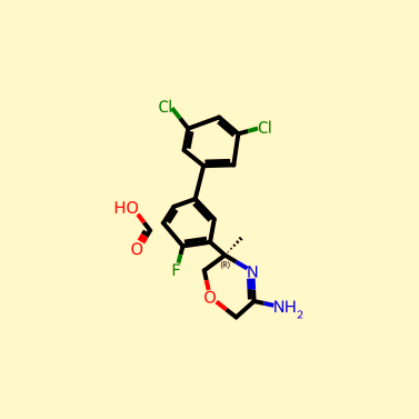 C[C@@]1(c2cc(-c3cc(Cl)cc(Cl)c3)ccc2F)COCC(N)=N1.O=CO